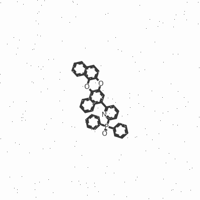 O=P(c1ccccc1)(c1ccccc1)c1cccc(-c2cc3c(c4ccccc24)Oc2c(ccc4ccccc24)O3)n1